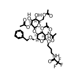 CC(=O)N[C@H]1[C@H](OCCCNC(=O)C(F)(F)F)O[C@H](COCc2ccccc2)[C@@H](O[C@@H]2O[C@H](COC(C)=O)[C@H](O)[C@H](O)[C@H]2OC(C)=O)[C@@H]1OC(C)=O